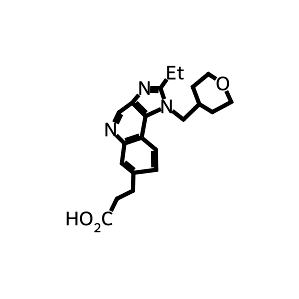 CCc1nc2cnc3cc(CCC(=O)O)ccc3c2n1CC1CCOCC1